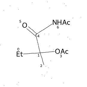 CCC(C)(OC(C)=O)C(=O)NC(C)=O